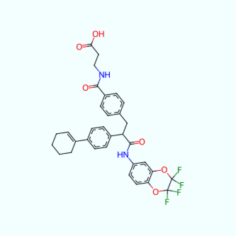 O=C(O)CCNC(=O)c1ccc(CC(C(=O)Nc2ccc3c(c2)OC(F)(F)C(F)(F)O3)c2ccc(C3=CCCCC3)cc2)cc1